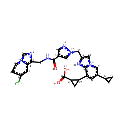 O=C(NCc1ncn2ccc(Cl)cc12)c1cnn(Cc2cn3cc(C4CC4)cc(C4CC4C(=O)O)c3n2)c1